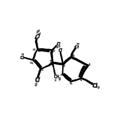 CC1(C2(Cl)C=CC(Cl)=CC2Cl)C(Cl)=C(Cl)C(Cl)=C1Cl